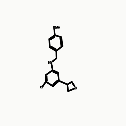 COc1ccc(CNc2cc(Cl)cc(C3COC3)c2)cc1